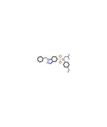 CCc1ccc(N(CC(C)C)S(=O)(=O)c2ccc3c(cnn3Cc3ccccc3)c2)cc1